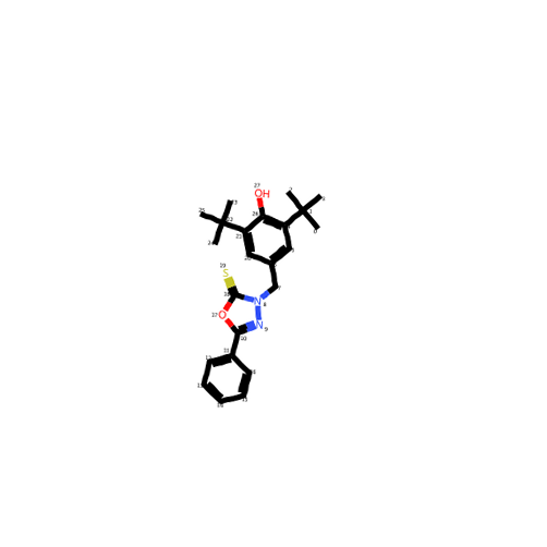 CC(C)(C)c1cc(Cn2nc(-c3ccccc3)oc2=S)cc(C(C)(C)C)c1O